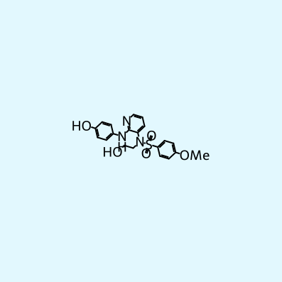 COc1ccc(S(=O)(=O)N(CCO)c2cccnc2Nc2ccc(O)cc2)cc1